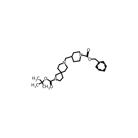 CC(C)(C)OC(=O)N1CCC2(CCN(CC3CCN(C(=O)OCc4ccccc4)CC3)CC2)C1